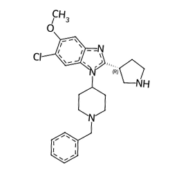 COc1cc2nc([C@@H]3CCNC3)n(C3CCN(Cc4ccccc4)CC3)c2cc1Cl